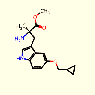 COC(=O)[C@@](C)(N)Cc1c[nH]c2ccc(OCC3CC3)cc12